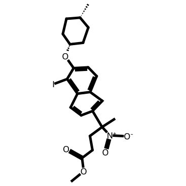 COC(=O)CCC(C)(c1ccc2c(I)c(O[C@H]3CC[C@@H](C)CC3)ccc2c1)[N+](=O)[O-]